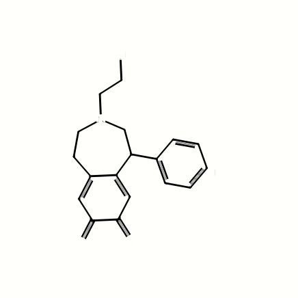 Cl.O=C1C=C2CCN(CCO)CC(c3ccccc3)C2=CC1=O